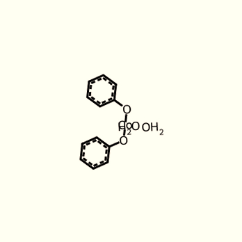 O.O.c1ccc([O][Co][O]c2ccccc2)cc1